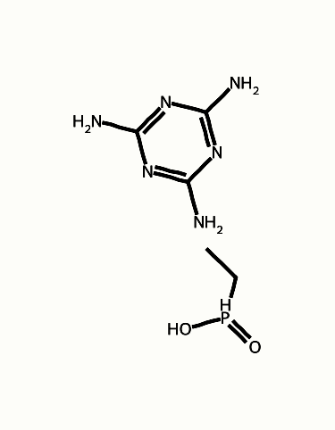 CC[PH](=O)O.Nc1nc(N)nc(N)n1